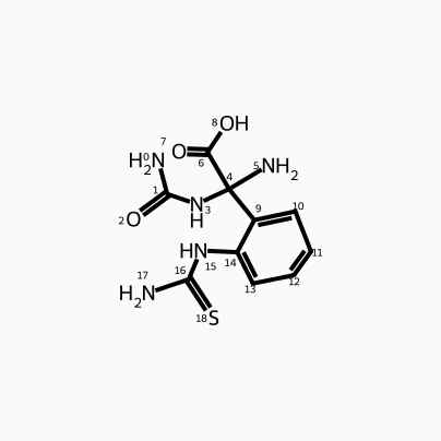 NC(=O)NC(N)(C(=O)O)c1ccccc1NC(N)=S